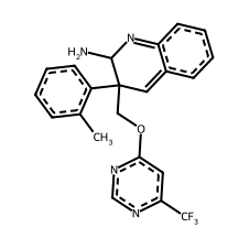 Cc1ccccc1C1(COc2cc(C(F)(F)F)ncn2)C=c2ccccc2=NC1N